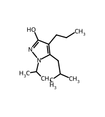 CCCc1c(O)nn(C(C)C)c1CC(C)C